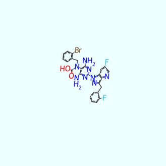 Nc1nc(-n2nc(Cc3ccccc3F)c3ncc(F)cc32)nc(N)c1N(Cc1ccccc1Br)C(=O)O